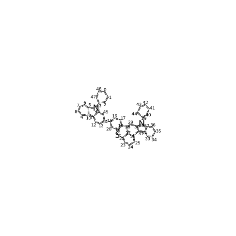 c1ccc(-n2c3ccccc3c3ccc(-c4ccc5c(c4)Sc4cccc6c4c-5cc4c6c5ccccc5n4-c4ccccc4)cc32)cc1